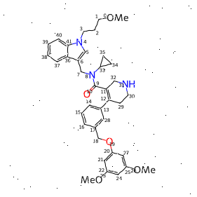 COCCCn1cc(CN(C(=O)C2=C(c3cccc(COc4cc(OC)cc(OC)c4)c3)CCNC2)C2CC2)c2ccccc21